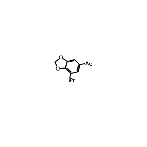 CC(=O)c1cc2c(c(C(C)C)c1)OCO2